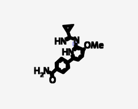 COc1ccc(-c2ccc(C(N)=O)cc2)[nH]/c1=N\C(=N)C1CC1